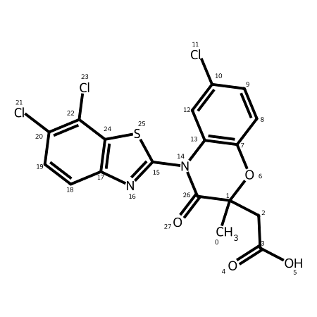 CC1(CC(=O)O)Oc2ccc(Cl)cc2N(c2nc3ccc(Cl)c(Cl)c3s2)C1=O